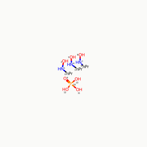 CCCNO.CCCNO.CCCNO.O=P(O)(O)O